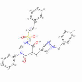 CCN(C(=O)C(Cc1cnn(Cc2ccccc2)c1)C(=O)NS(=O)(=O)/C=C/c1ccccc1)c1ccc(F)cc1